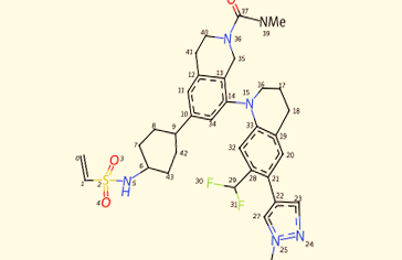 C=CS(=O)(=O)NC1CCC(c2cc3c(c(N4CCCc5cc(-c6cnn(C)c6)c(C(F)F)cc54)c2)CN(C(=O)NC)CC3)CC1